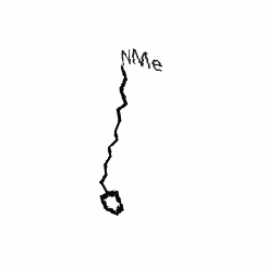 CNCCCCCCCCCCCCCc1ccccc1